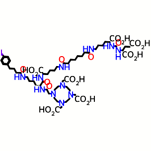 O=C(O)CC[C@H](NC(=O)N[C@@H](CCCCNC(=O)CCCCCCC(=O)NCCCC[C@H](NC(=O)[C@@H](CCCCNC(=O)CCCc1ccc(I)cc1)NC(=O)CN1CCN(CC(=O)O)CCN(CC(=O)O)CCN(CC(=O)O)CC1)C(=O)O)C(=O)O)C(=O)O